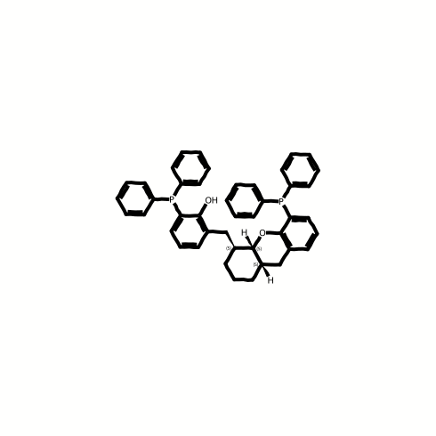 Oc1c(C[C@@H]2CCC[C@H]3Cc4cccc(P(c5ccccc5)c5ccccc5)c4O[C@@H]23)cccc1P(c1ccccc1)c1ccccc1